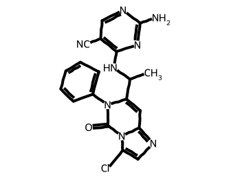 CC(Nc1nc(N)ncc1C#N)c1cc2ncc(Cl)n2c(=O)n1-c1ccccc1